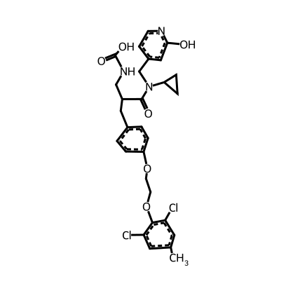 Cc1cc(Cl)c(OCCOc2ccc(CC(CNC(=O)O)C(=O)N(Cc3ccnc(O)c3)C3CC3)cc2)c(Cl)c1